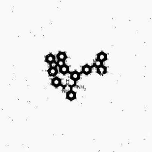 NC(NC(c1ccccc1)[C@@H](N)c1cc(-c2ccc(-c3nc4ccccc4c4ccncc34)cc2)cc(-c2ccc3c(c2)-c2ccccc2C32c3ccccc3-c3ccccc32)c1)c1ccccc1